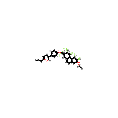 CCCC1=CCC(c2ccc(OC(F)(F)c3cc4ccc5cc(OCC)c(F)c(F)c5c4c(F)c3F)cc2)CO1